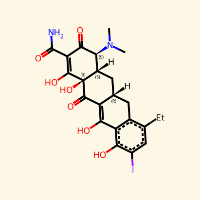 CCc1cc(I)c(O)c2c1C[C@H]1C[C@H]3[C@H](N(C)C)C(=O)C(C(N)=O)=C(O)[C@@]3(O)C(=O)C1=C2O